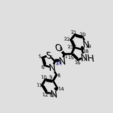 O=C(/N=c1\sccn1Cc1cccnc1)c1c[nH]c2ncccc12